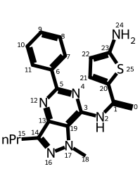 C=C(Nc1nc(-c2ccccc2)nc2c(CCC)nn(C)c12)c1ccc(N)s1